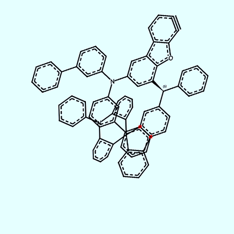 c1ccc2c(c#1)oc1c([C@@H](c3ccccc3)c3ccc4c(c3)C3(c5ccccc5-4)c4ccccc4N(c4ccccc4)c4ccccc43)cc(N(c3cccc(-c4ccccc4)c3)c3cccc(-c4ccccc4)c3)cc12